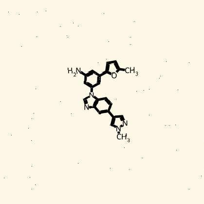 Cc1ccc(-c2cc(N)cc(-n3cnc4cc(-c5cnn(C)c5)ccc43)c2)o1